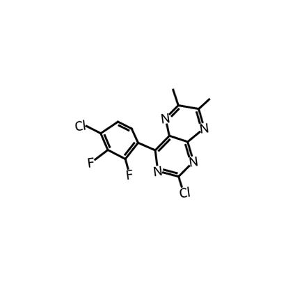 Cc1nc2nc(Cl)nc(-c3ccc(Cl)c(F)c3F)c2nc1C